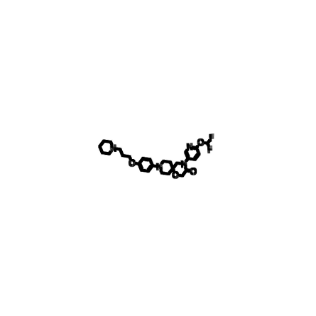 O=C1COC2(CCN(c3ccc(OCCCN4CCCCC4)cc3)CC2)CN1c1ccc(OC(F)F)nc1